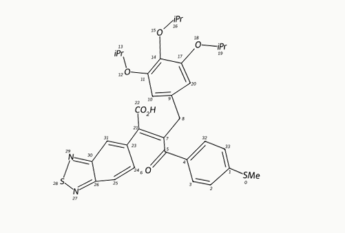 CSc1ccc(C(=O)/C(Cc2cc(OC(C)C)c(OC(C)C)c(OC(C)C)c2)=C(/C(=O)O)c2ccc3nsnc3c2)cc1